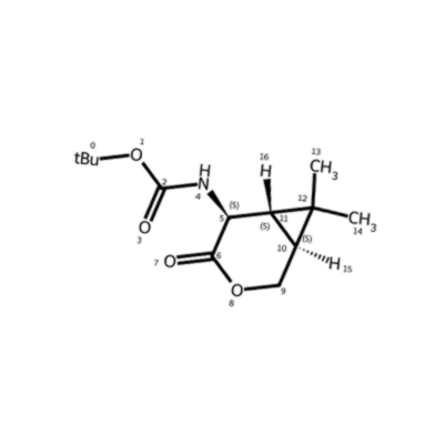 CC(C)(C)OC(=O)N[C@@H]1C(=O)OC[C@H]2[C@H]1C2(C)C